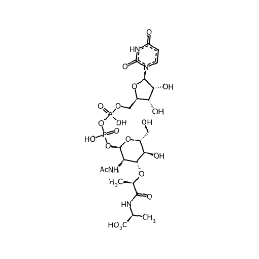 CC(=O)N[C@H]1[C@@H](OP(=O)(O)OP(=O)(O)OC[C@H]2O[C@@H](n3ccc(=O)[nH]c3=O)[C@H](O)[C@@H]2O)O[C@H](CO)[C@@H](O)[C@@H]1O[C@H](C)C(=O)N[C@@H](C)C(=O)O